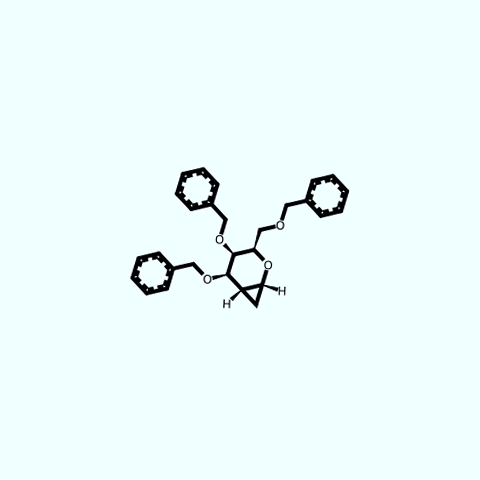 c1ccc(COC[C@H]2O[C@@H]3C[C@@H]3[C@@H](OCc3ccccc3)[C@H]2OCc2ccccc2)cc1